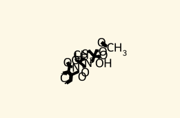 COC1(N2C(=O)c3ccccc3C2=O)C(=O)N2CC(COC(C)=O)(C(=O)O)CS[C@@H]21